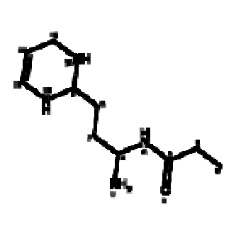 CCC(=O)NC(N)CCC1NC=CCN1